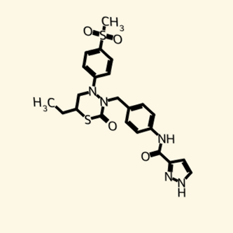 CCC1CN(c2ccc(S(C)(=O)=O)cc2)N(Cc2ccc(NC(=O)c3cc[nH]n3)cc2)C(=O)S1